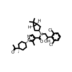 Cc1c(C(=O)N(CC(O)c2c(Cl)cccc2Cl)[C@H]2C[C@@H]3[C@H](C2)C3(C)C)cnn1[C@H]1CC[C@](C)(C(C)=O)CC1